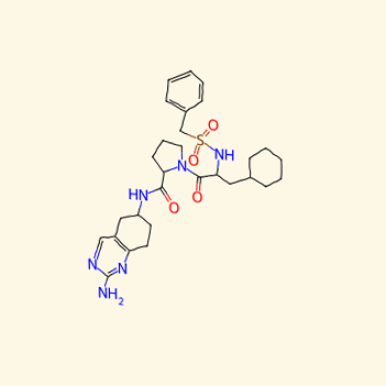 Nc1ncc2c(n1)CCC(NC(=O)C1CCCN1C(=O)C(CC1CCCCC1)NS(=O)(=O)Cc1ccccc1)C2